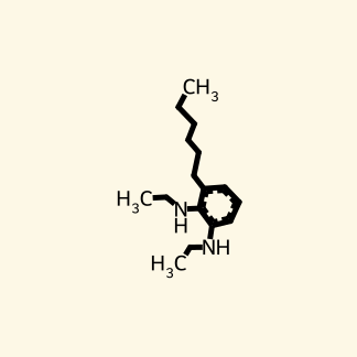 CCCCCCc1cccc(NCC)c1NCC